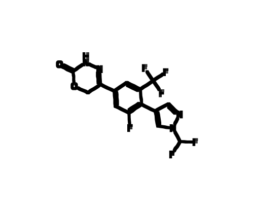 O=C1NN=C(c2cc(F)c(-c3cnn(C(F)F)c3)c(C(F)(F)F)c2)CO1